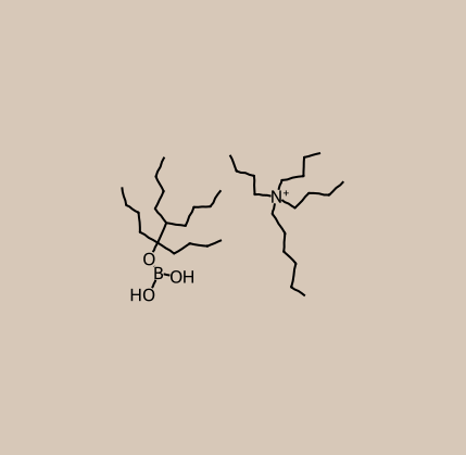 CCCCC(CCCC)C(CCCC)(CCCC)OB(O)O.CCCCCC[N+](CCCC)(CCCC)CCCC